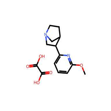 COc1cccc(C2CN3CCC2C3)n1.O=C(O)C(=O)O